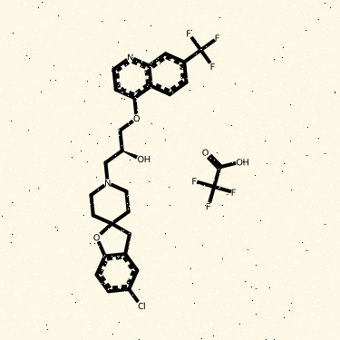 O=C(O)C(F)(F)F.O[C@H](COc1ccnc2cc(C(F)(F)F)ccc12)CN1CCC2(CC1)Cc1cc(Cl)ccc1O2